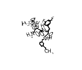 CCc1cccc(CNC[C@@H](O)C(Cc2cc(F)cc(F)c2)NC(=O)c2nc(NS(C)(=O)=O)oc2C(N)=O)c1